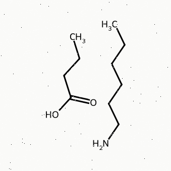 CCCC(=O)O.CCCCCCN